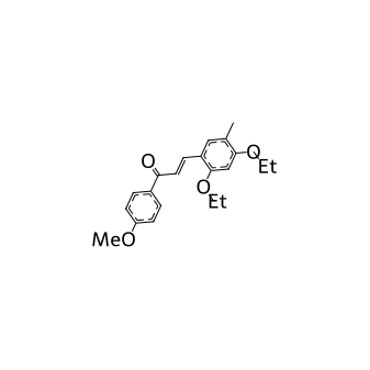 CCOc1cc(OCC)c(/C=C/C(=O)c2ccc(OC)cc2)cc1C